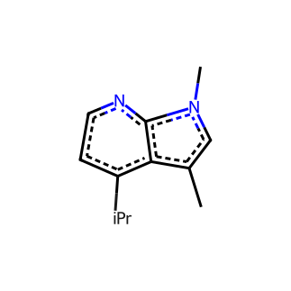 Cc1cn(C)c2nccc(C(C)C)c12